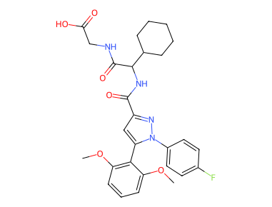 COc1cccc(OC)c1-c1cc(C(=O)NC(C(=O)NCC(=O)O)C2CCCCC2)nn1-c1ccc(F)cc1